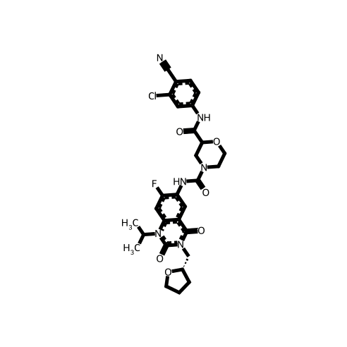 CC(C)n1c(=O)n(C[C@@H]2CCCO2)c(=O)c2cc(NC(=O)N3CCOC(C(=O)Nc4ccc(C#N)c(Cl)c4)C3)c(F)cc21